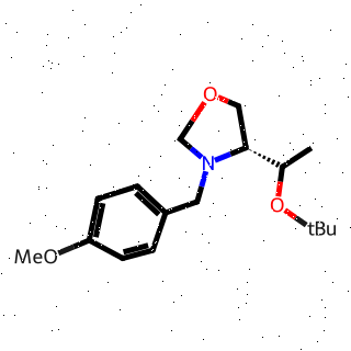 COc1ccc(CN2COC[C@@H]2C(C)OC(C)(C)C)cc1